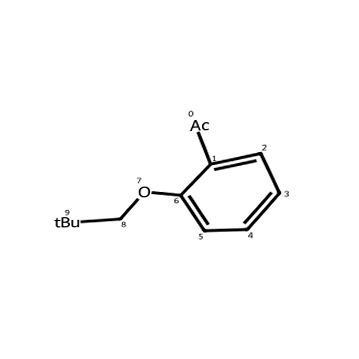 CC(=O)c1ccccc1OCC(C)(C)C